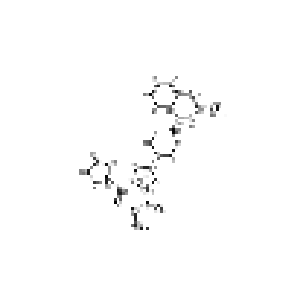 CC(C)(C)OC(=O)N1C[C@@H](N2CCN(c3nc(C(F)(F)F)nc4ccccc34)CC2)C[C@H]1C(=O)N1CCSC1